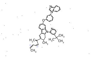 C=C(/C=C\C=C/C)C1=Cc2c(n(-c3cc(C(C)(C)C)ccn3)c3cc(Oc4cccc(-n5cnc6ccccc65)c4)ccc23)CC1C